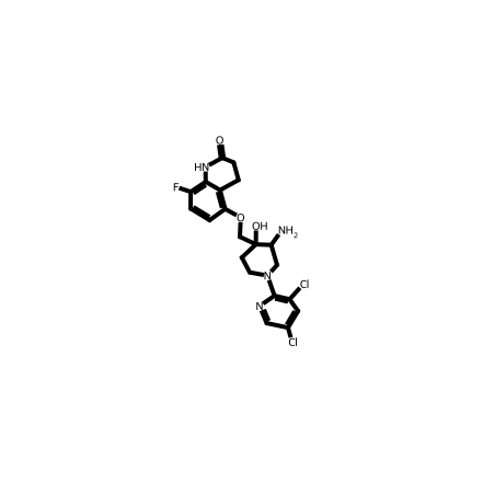 NC1CN(c2ncc(Cl)cc2Cl)CCC1(O)COc1ccc(F)c2c1CCC(=O)N2